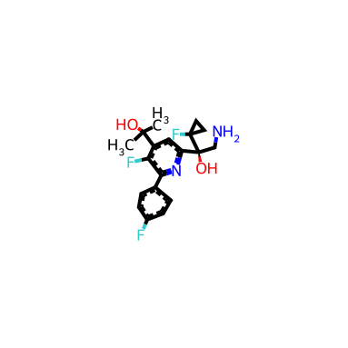 CC(C)(O)c1cc([C@@](O)(CN)C2(F)CC2)nc(-c2ccc(F)cc2)c1F